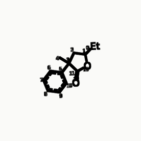 CCC1CC(C)(c2ccccc2)C(=O)O1